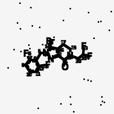 O=C1c2nn(Cc3c(F)cccc3F)c(Br)c2CCN1CC(F)F